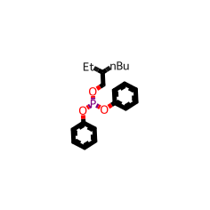 CCCCC(CC)COP(Oc1ccccc1)Oc1ccccc1